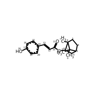 CC1(C)C2CCC1(C)C(OC(=O)/C=C/c1ccc(O)cc1)C2